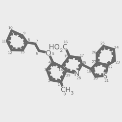 Cc1ccc(OCCc2ccccc2)c2c(C(=O)O)cc(-c3csc4ccccc34)nc12